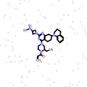 C=CC(=O)N1CCN(c2nc(N3CC(N(CC)CC)C3)nc3c2CCC(N2CCCc4ccccc42)C3)CC1CC#N